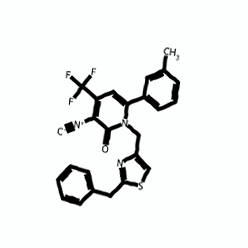 [C-]#[N+]c1c(C(F)(F)F)cc(-c2cccc(C)c2)n(Cc2csc(Cc3ccccc3)n2)c1=O